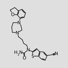 N#Cc1ccc2sc(N(CCCCN3CCCN(c4cccc5c4OCC5)CC3)C(N)=O)cc2c1